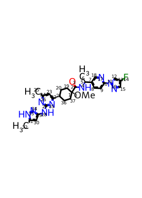 CO[C@]1(C(=O)N[C@@H](C)c2ccc(-n3cc(F)cn3)nc2)CC[C@H](c2cc(C)nc(Nc3cc(C)[nH]n3)n2)CC1